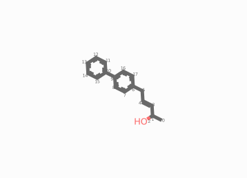 CC(O)C=CCc1ccc(-c2ccccc2)cc1